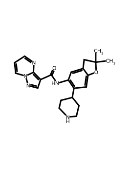 CC1(C)Cc2cc(NC(=O)c3cnn4cccnc34)c(C3CCNCC3)cc2O1